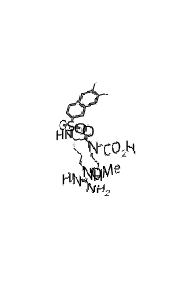 COCCN(CC(=O)O)C(=O)[C@H](CCCNC(=N)N)NS(=O)(=O)c1ccc2cc(C)c(C)cc2c1